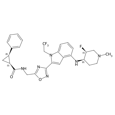 CN1CC[C@@H](Nc2cccc3c2cc(-c2noc(CNC(=O)[C@H]4C[C@H]4c4ccccc4)n2)n3CC(F)(F)F)[C@@H](F)C1